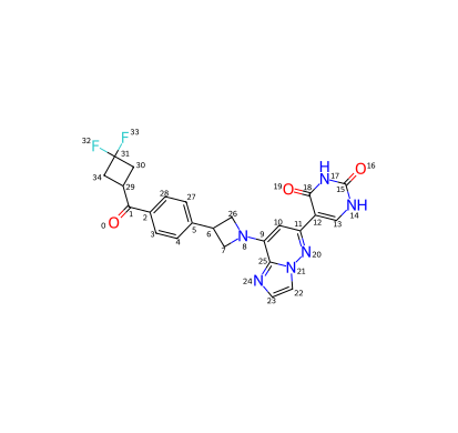 O=C(c1ccc(C2CN(c3cc(-c4c[nH]c(=O)[nH]c4=O)nn4ccnc34)C2)cc1)C1CC(F)(F)C1